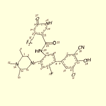 CC1CN(c2cc(F)c(-c3cc(Cl)c(O)c(C#N)c3)cc2NC(=O)c2c[nH]c(=O)cc2C(F)(F)F)CC(C)N1C